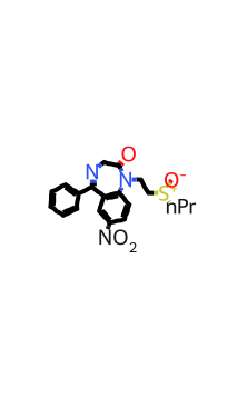 CCC[S+]([O-])CCN1C(=O)CN=C(c2ccccc2)c2cc([N+](=O)[O-])ccc21